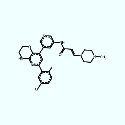 CN1CCN(C=CC(=O)Nc2cncc(-c3cc(-c4cc(Cl)ccc4F)nc4c3OCCN4)c2)CC1